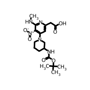 CNc1nc(CC(=O)O)cc(N2CCCC(NC(=O)OC(C)(C)C)C2)c1[N+](=O)[O-]